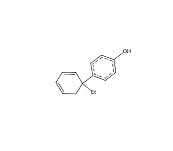 CCC1(c2ccc(O)cc2)C=CC=CC1